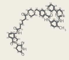 Cc1ccc(NC(=O)c2ccc(CN3CCN(C(=O)CCCCCC(=O)Nc4cccc5c4CN(C4CCC(=O)NC4=O)C5=O)CC3)cc2)cc1Nc1nccc(-c2cccnc2)n1